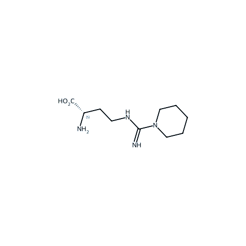 N=C(NCC[C@H](N)C(=O)O)N1CCCCC1